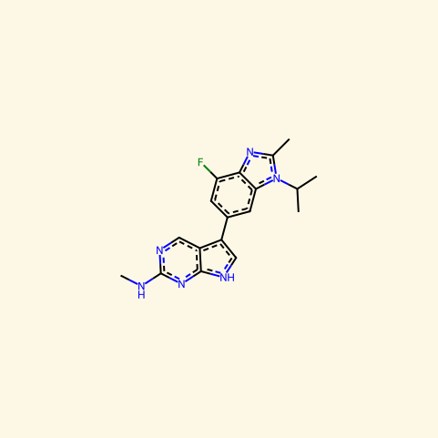 CNc1ncc2c(-c3cc(F)c4nc(C)n(C(C)C)c4c3)c[nH]c2n1